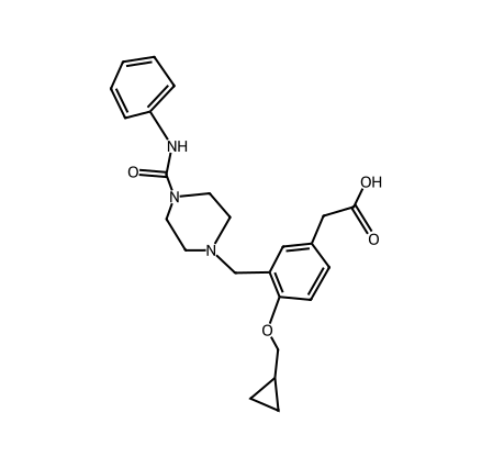 O=C(O)Cc1ccc(OCC2CC2)c(CN2CCN(C(=O)Nc3ccccc3)CC2)c1